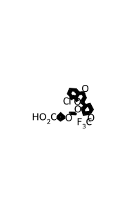 O=C(O)C1CC(OCCOc2cc(OC(F)(F)F)ccc2-c2cc(=O)c3cccc(Cl)c3o2)C1